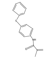 C=C(C)C(=O)Nc1ccc(Sc2ccccc2)cc1